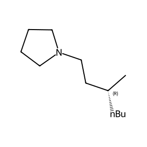 CCCC[C@@H](C)CCN1CCCC1